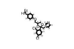 CCNc1ccc(OCC2COC(Cn3ccnc3)(c3ccc(Cl)cc3Cl)O2)cc1